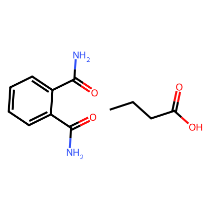 CCCC(=O)O.NC(=O)c1ccccc1C(N)=O